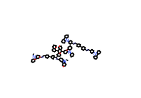 CCn1c2ccccc2c2cc(/C=C(/c3ccc(-c4ccc(/C=C/c5ccc6c(c5)c5ccccc5n6CC)cc4)cc3)c3ccc4c(-c5ccc6c(c5)c5cc(-c7cc(-n8c9ccccc9c9ccccc98)ccc7/C=C/c7ccc(-c8ccc(/C=C/c9ccc(-n%10c%11ccccc%11c%11ccccc%11%10)cc9)cc8)cc7)ccc5n6-c5ccccc5)c5ccccc5c(-c5cccc6ccccc56)c4c3)ccc21